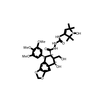 COc1cc([C@@H]2c3cc4c(cc3[C@H](O)C(CO)[C@@H]2C(=O)NNC(=O)NC2=CC(C)(C)N(O)C2(C)C)OCO4)cc(OC)c1OC